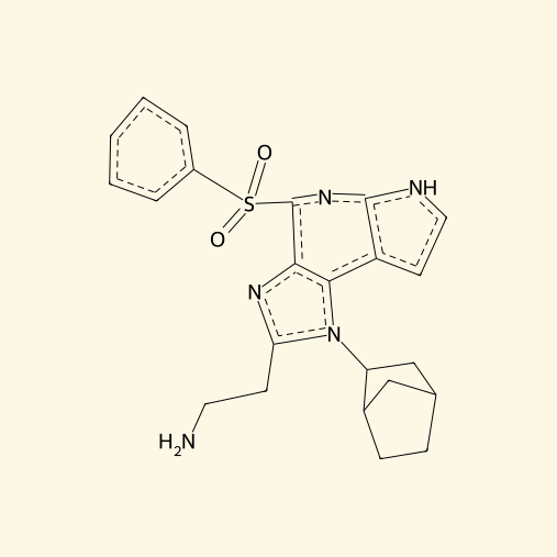 NCCc1nc2c(S(=O)(=O)c3ccccc3)nc3[nH]ccc3c2n1C1CC2CCC1C2